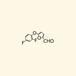 O=Cc1ccc(Oc2ccc(F)cc2F)o1